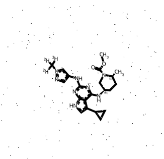 [2H]C([2H])([2H])n1cc(Nc2nc(N[C@@H]3CC[C@H](C)N(C(=O)OC)C3)c3c(C4CC4)c[nH]c3n2)cn1